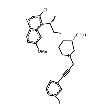 COc1ccc2ncc(Cl)c([C@@H](F)CC[C@H]3CCN(CC#Cc4cccc(F)c4)C[C@H]3C(=O)O)c2c1